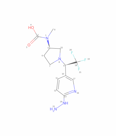 CN(C(=O)O)[C@@H]1CCN([C@H](c2ccc(NN)nc2)C(F)(F)F)C1